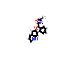 CCc1coc(C(Oc2ccc3c(c2)C=CCN3)c2ccccc2)n1